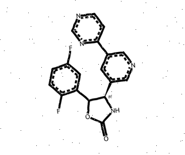 O=C1N[C@H](c2cncc(-c3ccncn3)c2)C(c2cc(F)ccc2F)O1